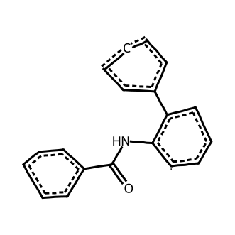 O=C(Nc1[c]cccc1-c1ccccc1)c1ccccc1